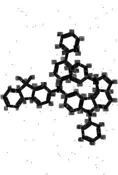 CC1(C)c2ccccc2-c2ccc(N(c3ccc(-c4ccccn4)cc3)c3ccc4c(c3)c3c5c(ccc3n4-c3ccccc3)ccn5-c3ccccc3)cc21